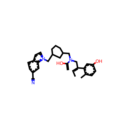 C=C(O)N(C/C(=C/C)c1cc(O)ccc1C)CC1CCCC(Cn2ccc3ccc(C#N)cc32)C1